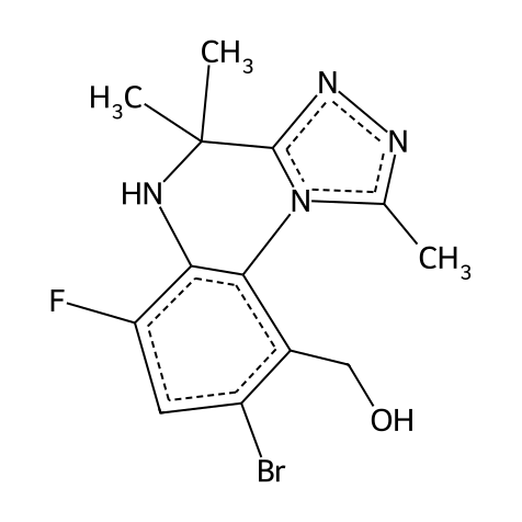 Cc1nnc2n1-c1c(CO)c(Br)cc(F)c1NC2(C)C